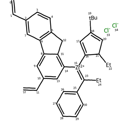 C=Cc1ccc2c(c1)-c1cc(C=C)c[c](/[Zr+2]([C]3=CC(C(C)(C)C)=CC3CC)=[C](/CC)c3ccccc3)c1C2.[Cl-].[Cl-]